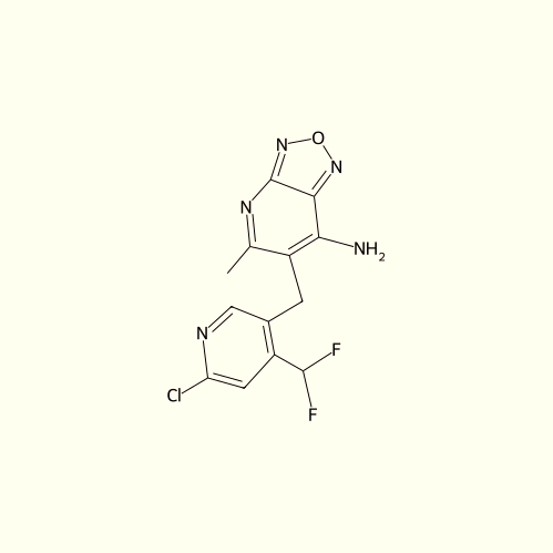 Cc1nc2nonc2c(N)c1Cc1cnc(Cl)cc1C(F)F